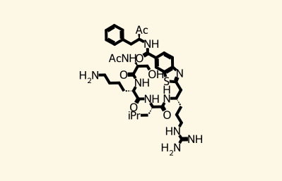 CC(=O)N[C@@H](CO)C(=O)N[C@@H](CCCCN)C(=O)N[C@@H](CC(C)C)C(=O)N[C@@H](CCCNC(=N)N)Cc1nc2ccc(C(=O)N[C@@H](Cc3ccccc3)C(C)=O)cc2s1